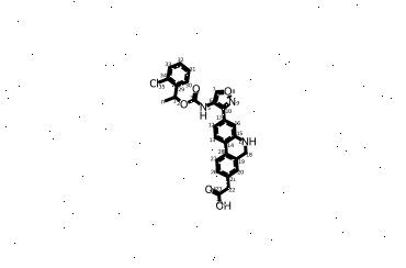 CC(OC(=O)Nc1conc1-c1ccc2c(c1)NCc1cc(CC(=O)O)ccc1-2)c1ccccc1Cl